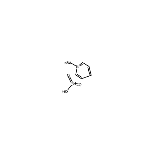 CCCC[n+]1ccccc1.O=[SH](=O)O